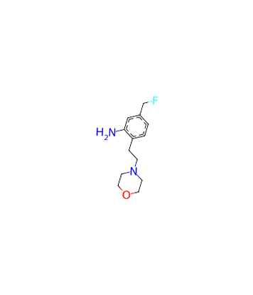 Nc1cc(CF)ccc1CCN1CCOCC1